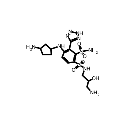 NCC(O)CNS(=O)(=O)c1ccc(NC2CCC(N)C2)c(-c2nn[nH]n2)c1S(N)(=O)=O